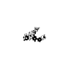 Cc1ccc([C@H](CC(=O)[O-])NC(=O)Nc2c([O-])cc(C)n(C)c2=O)cc1-c1cccc(OC(F)(F)F)c1.[Na+].[Na+]